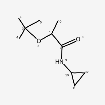 CC(OC(C)(C)C)C(=O)NC1CC1